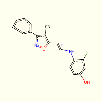 N#Cc1c(-c2ccccc2)noc1/C=C/Nc1ccc(O)cc1F